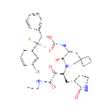 CCNC(=O)C(=O)[C@H](C[C@@H]1CCNC1=O)NC(=O)C(CC1(C)CCC1)NC(=O)OC(c1ccccc1)C(F)(F)c1cccc(Cl)c1